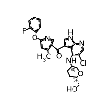 Cc1cc(Oc2ccccc2F)ncc1C(=O)c1c[nH]c2ncc(Cl)c(N[C@@H]3CC[C@@H](CO)OC3)c12